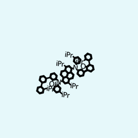 CC(C)c1cccc(N(c2cccc(-c3cccc(-c4ccccc4C(C)C)c3)c2O)c2cc(C(C)C)c3ccc4c(N(c5cccc(C(C)C)c5)c5cccc6c5oc5c(-c7ccccc7C(C)C)cccc56)cc(C(C)C)c5ccc2c3c54)c1